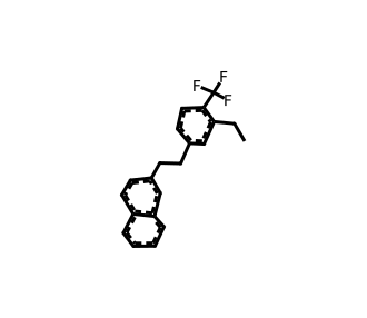 CCc1cc(CCc2ccc3ccccc3c2)ccc1C(F)(F)F